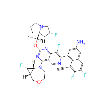 [2H]C([2H])(Oc1nc(N2CCOC[C@@H]3[C@H](F)[C@@H]32)c2cnc(-c3cc(N)cc4cc(F)c(F)c(C#C)c34)c(F)c2n1)[C@@]12CCCN1C[C@H](F)C2